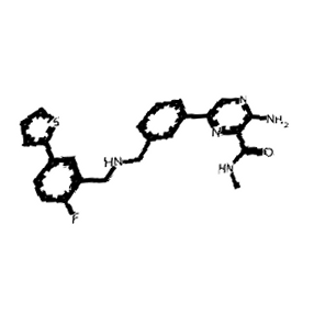 CNC(=O)c1nc(-c2cccc(CNCc3cc(-c4cccs4)ccc3F)c2)cnc1N